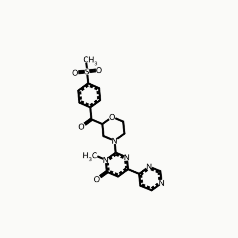 Cn1c(N2CCOC(C(=O)c3ccc(S(C)(=O)=O)cc3)C2)nc(-c2ccncn2)cc1=O